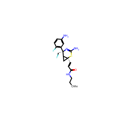 COCCNC(=O)/C=C/[C@]12CC1[C@@](CF)(c1cc(N)ccc1F)N=C(N)S2